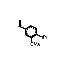 C=[C]c1ccc(CCC)c(OC)c1